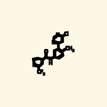 Cc1ccc(NC(=O)c2ccnc(C(F)(F)F)c2)cc1-c1cc(Cl)ncn1